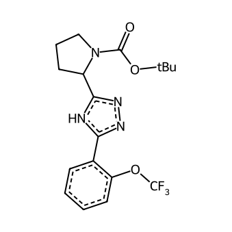 CC(C)(C)OC(=O)N1CCCC1c1nnc(-c2ccccc2OC(F)(F)F)[nH]1